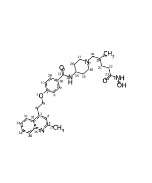 Cc1cc(CCOc2ccc(C(=O)NC3CCN(CC(C)CCC(=O)NO)CC3)cc2)c2ccccc2n1